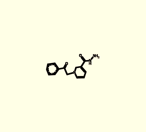 NNC(=O)C1=CC=CN(CC(=O)c2ccccc2)C1